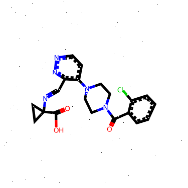 O=C(c1ccccc1Cl)N1CCN(c2ccnnc2C=NC2(C(=O)O)CC2)CC1